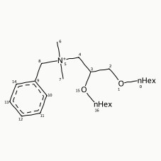 CCCCCCOCC(C[N+](C)(C)Cc1ccccc1)OCCCCCC